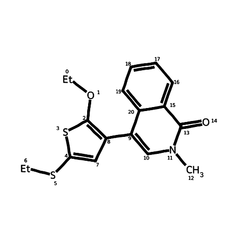 CCOc1sc(SCC)cc1-c1cn(C)c(=O)c2ccccc12